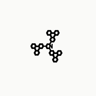 c1ccc2c(c1)c1ccccc1c1cc(-c3cc(-c4ccc5c6ccccc6c6ccccc6c5c4)nc(-c4ccc5c6ccccc6c6ccccc6c5c4)c3)ccc21